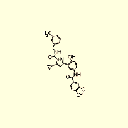 Cc1cccc(CNC(=O)n2nc(-c3cc(NC(=O)c4ccc5c(c4)OCO5)ccc3O)cc2C2CC2)c1